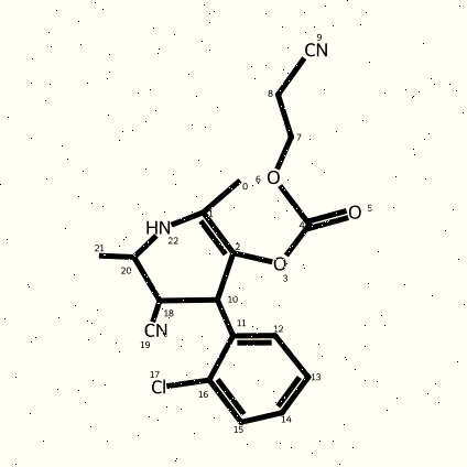 CC1=C(OC(=O)OCCC#N)C(c2ccccc2Cl)C(C#N)C(C)N1